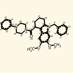 COc1cc2c3c(n(Cc4ccccc4)c2cc1OC)CCCC3C(=O)N1CCN(c2ccccc2)CC1